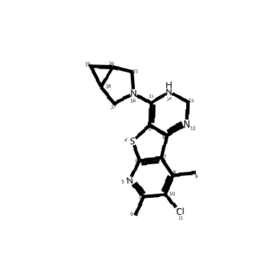 Cc1nc2sc3c(c2c(C)c1Cl)=NCNC=3N1CC2CC2C1